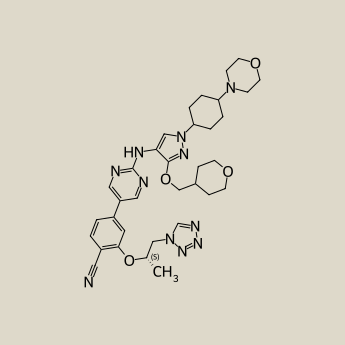 C[C@@H](Cn1cnnn1)Oc1cc(-c2cnc(Nc3cn(C4CCC(N5CCOCC5)CC4)nc3OCC3CCOCC3)nc2)ccc1C#N